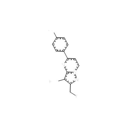 O=C(O)c1c(CF)nn2ccc(-c3ccc(C(F)(F)F)cc3)nc12